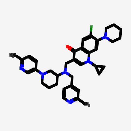 Cc1ccc(N2CCCC(N(Cc3ccnc(C)c3)Cc3cn(C4CC4)c4cc(N5CCCCC5)c(F)cc4c3=O)C2)cn1